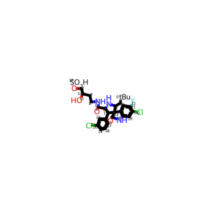 CC(C)(C)CC1NC(C(=O)NCCC(O)COS(=O)(=O)O)C(c2cccc(Cl)c2)C12C(=O)Nc1cc(Cl)c(F)cc12